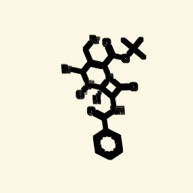 CC(C)(C)OC(=O)C1=C(CBr)C(Br)[S+]([O-])[C@@H]2C(NC(=O)c3ccccc3)C(=O)N12